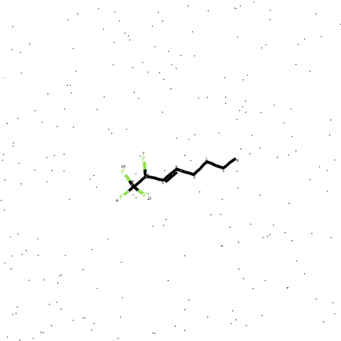 CCCCC=CC(F)C(F)(F)F